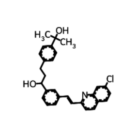 CC(C)(O)c1ccc(CCC(O)c2cccc(C=Cc3ccc4ccc(Cl)cc4n3)c2)cc1